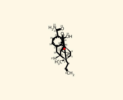 C=CC[N+]1(C)CC[C@]23CC(=O)CC[C@@]2(O)[C@H]1Cc1ccc(C(N)=O)c(O)c13